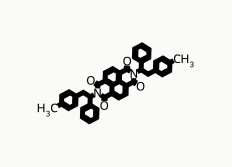 Cc1ccc(CC(c2ccccc2)N2C(=O)c3ccc4c5c(ccc(c35)C2=O)C(=O)N(C(Cc2ccc(C)cc2)c2ccccc2)C4=O)cc1